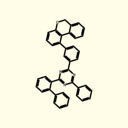 c1ccc(-c2nc(-c3cccc(-c4cccc5c4-c4ccccc4CO5)c3)nc(-c3ccccc3-c3ccccc3)n2)cc1